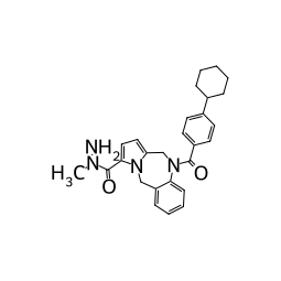 CN(N)C(=O)c1ccc2n1Cc1ccccc1N(C(=O)c1ccc(C3CCCCC3)cc1)C2